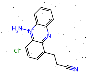 N#CCCc1cccc2c1nc1ccccc1[n+]2N.[Cl-]